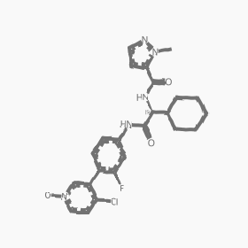 Cn1nccc1C(=O)N[C@H](C(=O)Nc1ccc(-c2c[n+]([O-])ccc2Cl)c(F)c1)C1CCCCC1